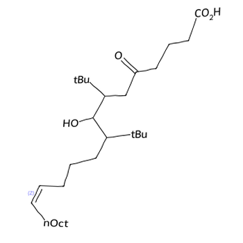 CCCCCCCC/C=C\CCCC(C(O)C(CC(=O)CCCC(=O)O)C(C)(C)C)C(C)(C)C